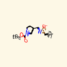 CC(C)C[S@+]([O-])/N=C/[C@@H]1CCN(C(=O)OC(C)(C)C)C1